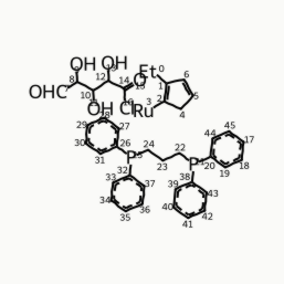 CCC1=[C]([Ru])CC=C1.O=CC(O)C(O)C(O)C(=O)Cl.c1ccc(P(CCCP(c2ccccc2)c2ccccc2)c2ccccc2)cc1